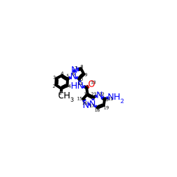 Cc1cccc(-n2nccc2NC(=O)c2cnn3ccc(N)nc23)c1